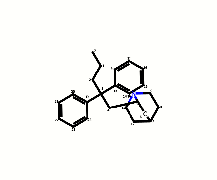 CCCC(CC1CC2CCN1CC2)(c1ccccc1)c1ccccc1